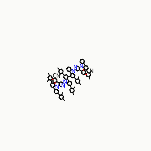 Cc1ccc(-c2ccc3c4ccccc4n(-c4cnc(-n5c6ccccc6c6c(-c7cc(-c8ccc(C)cc8C)cc8c7c7ccc(-c9ccc(C)cc9C)cc7n8-c7cc(-c8cccc(C#N)c8)c(-n8c9cc(-c%10ccc(C)cc%10C)ccc9c9ccc(-c%10ccc(C)cc%10C)cc98)cn7)cc(-c7ccc(C)cc7C)cc65)cc4-c4cccc(C#N)c4)c3c2)c(C)c1